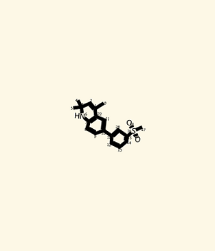 CC1=CC(C)(C)Nc2ccc(-c3cccc(S(C)(=O)=O)c3)cc21